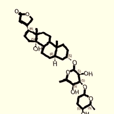 CC1OC(O[C@H]2CCC3(C)C4CCC5(C)[C@@H](C6=CC(=O)OC6)CC[C@]5(O)C4CC[C@@H]3C2)[C@@H](O)[C@@H](OC2CC[C@H](O)[C@H](C)O2)[C@H]1O